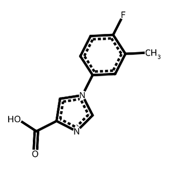 Cc1cc(-n2cnc(C(=O)O)c2)ccc1F